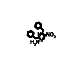 N.O=[N+]([O-])c1cnc(Cc2ccccc2)nc1Cc1ccccc1